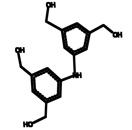 OCc1cc(CO)cc(Nc2cc(CO)cc(CO)c2)c1